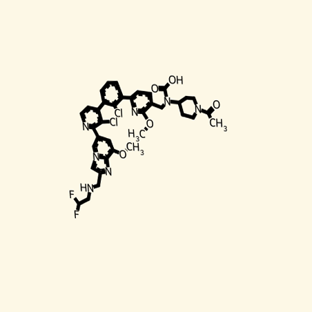 COc1nc(-c2cccc(-c3ccnc(-c4cc(OC)c5nc(CNCC(F)F)cn5c4)c3Cl)c2Cl)ccc1CN(C(=O)O)C1CCN(C(C)=O)CC1